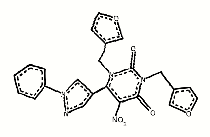 O=c1c([N+](=O)[O-])c(-c2cnn(-c3ccccc3)c2)n(Cc2ccoc2)c(=O)n1Cc1ccoc1